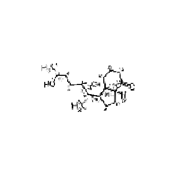 C[C@H](CCC[C@@H](C)O)C1CC[C@H]2C(=O)CCC[C@]12C